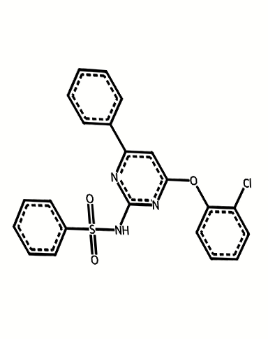 O=S(=O)(Nc1nc(Oc2ccccc2Cl)cc(-c2ccccc2)n1)c1ccccc1